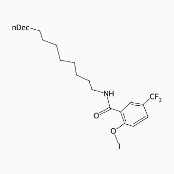 CCCCCCCCCCCCCCCCCCNC(=O)c1cc(C(F)(F)F)ccc1OI